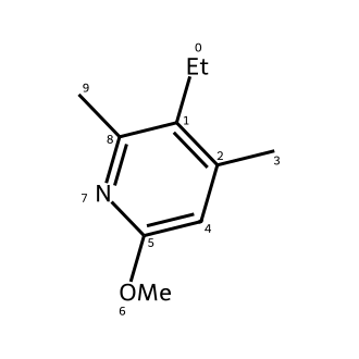 CCc1c(C)cc(OC)nc1C